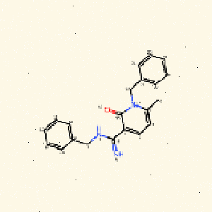 Cc1ccc(C(=N)NCc2ccccc2)c(=O)n1Cc1ccccc1